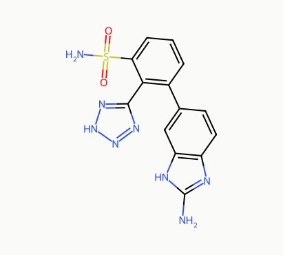 Nc1nc2ccc(-c3cccc(S(N)(=O)=O)c3-c3nn[nH]n3)cc2[nH]1